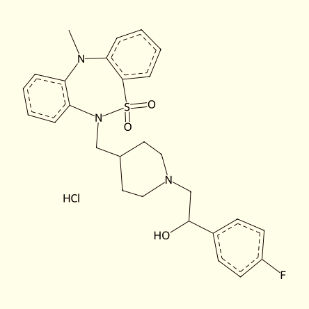 CN1c2ccccc2N(CC2CCN(CC(O)c3ccc(F)cc3)CC2)S(=O)(=O)c2ccccc21.Cl